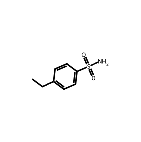 C[CH]c1ccc(S(N)(=O)=O)cc1